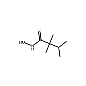 CC(C)C(C)(C)C(=O)NO